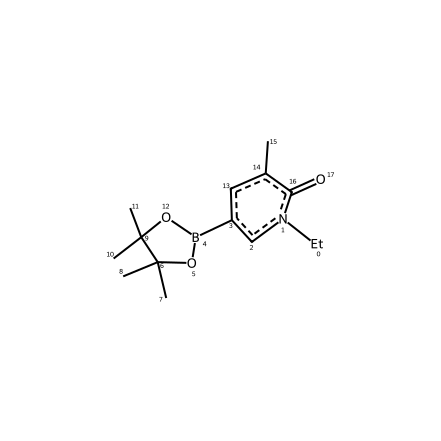 CCn1cc(B2OC(C)(C)C(C)(C)O2)cc(C)c1=O